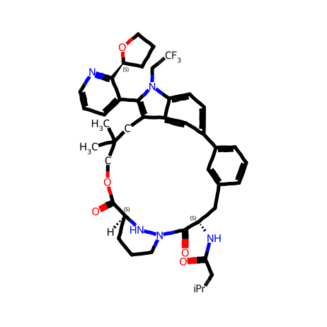 CC(C)CC(=O)N[C@H]1Cc2cccc(c2)-c2ccc3c(c2)c(c(-c2cccnc2[C@@H]2CCCO2)n3CC(F)(F)F)CC(C)(C)COC(=O)[C@@H]2CCCN(N2)C1=O